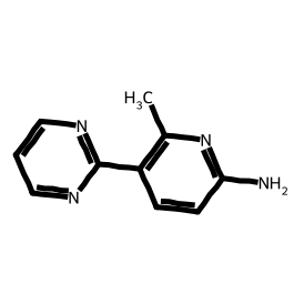 Cc1nc(N)ccc1-c1ncccn1